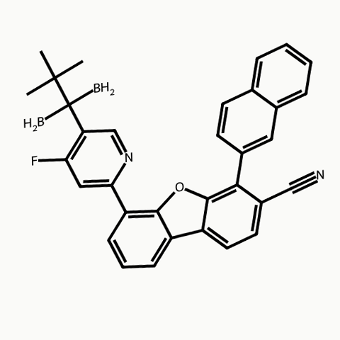 BC(B)(c1cnc(-c2cccc3c2oc2c(-c4ccc5ccccc5c4)c(C#N)ccc23)cc1F)C(C)(C)C